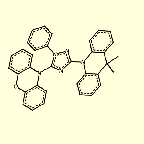 CC1(C)c2ccccc2N(c2nc(N3c4ccccc4Oc4ccccc43)n(-c3ccccc3)n2)c2ccccc21